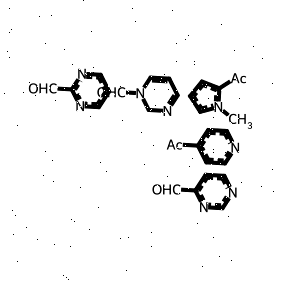 CC(=O)c1cccn1C.CC(=O)c1ccncc1.O=CN1C=CC=NC1.O=Cc1ccncn1.O=Cc1ncccn1